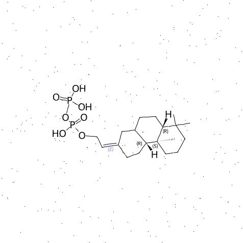 CC1(C)CCC[C@@]2(C)[C@@H]3CC/C(=C/COP(=O)(O)OP(=O)(O)O)CC3CC[C@H]12